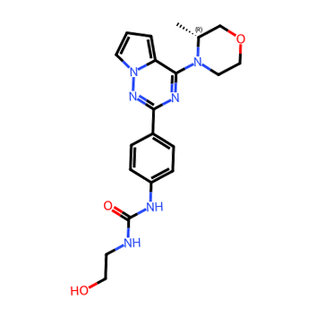 C[C@@H]1COCCN1c1nc(-c2ccc(NC(=O)NCCO)cc2)nn2cccc12